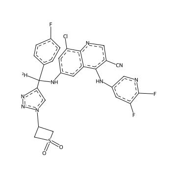 [2H]C(Nc1cc(Cl)c2ncc(C#N)c(Nc3cnc(F)c(F)c3)c2c1)(c1ccc(F)cc1)c1cn(C2CS(=O)(=O)C2)nn1